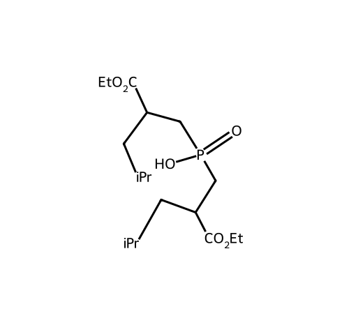 CCOC(=O)C(CC(C)C)CP(=O)(O)CC(CC(C)C)C(=O)OCC